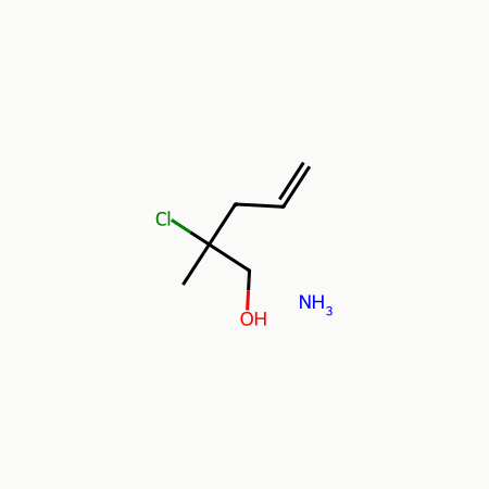 C=CCC(C)(Cl)CO.N